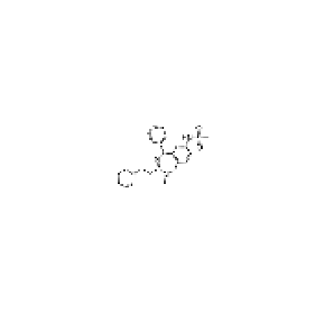 CN1Cc2ccc(NS(C)(=O)=O)cc2C(c2ccccc2)N=C1CCc1ccccc1